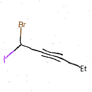 CCC#CC(Br)I